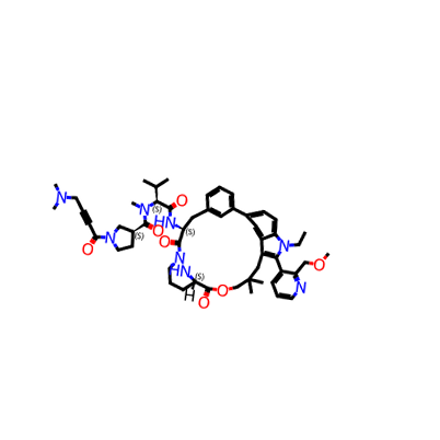 CCn1c(-c2cccnc2COC)c2c3cc(ccc31)-c1cccc(c1)C[C@H](NC(=O)[C@H](C(C)C)N(C)C(=O)[C@H]1CCN(C(=O)C#CCN(C)C)C1)C(=O)N1CCC[C@H](N1)C(=O)OCC(C)(C)C2